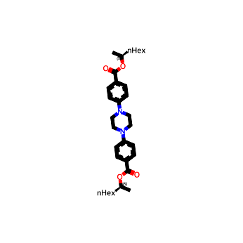 CCCCCC[C@H](C)OC(=O)c1ccc(N2CCN(c3ccc(C(=O)O[C@@H](C)CCCCCC)cc3)CC2)cc1